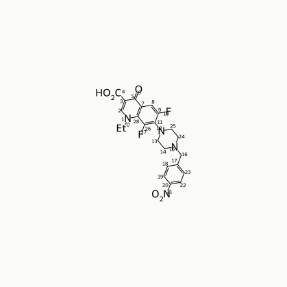 CCn1cc(C(=O)O)c(=O)c2cc(F)c(N3CCN(Cc4ccc([N+](=O)[O-])cc4)CC3)c(F)c21